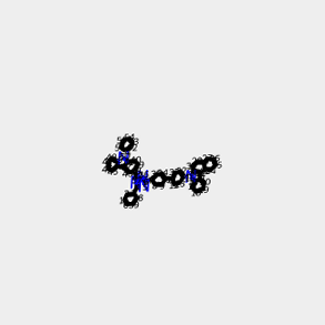 c1ccc(-c2nc(-c3ccc(-c4ccc(-n5c6ccccc6c6c7ccccc7ccc65)cc4)cc3)nc(-c3ccc4c(c3)c3ccccc3n4-c3ccccc3)n2)cc1